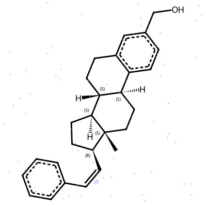 C[C@]12CC[C@@H]3c4ccc(CO)cc4CC[C@H]3[C@@H]1CC[C@@H]2/C=C\c1ccccc1